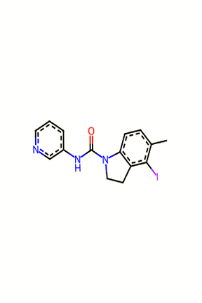 Cc1ccc2c(c1I)CCN2C(=O)Nc1cccnc1